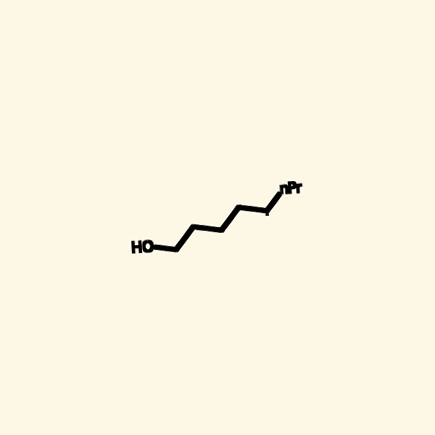 CCC[CH]CCCCO